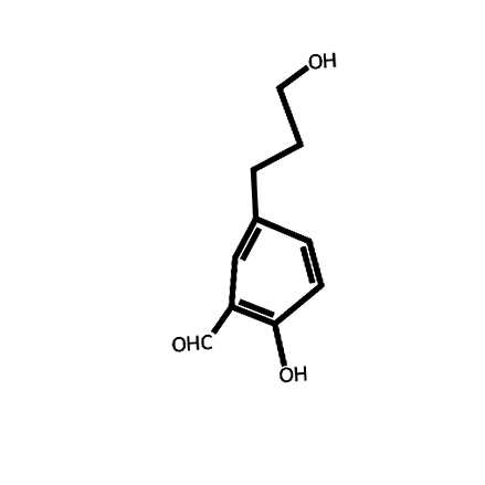 O=Cc1cc(CCCO)ccc1O